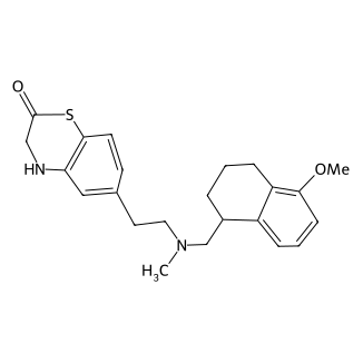 COc1cccc2c1CCCC2CN(C)CCc1ccc2c(c1)NCC(=O)S2